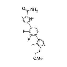 COCCn1ncc(-c2ccc(-c3cnc(C(N)=O)n3C)c(F)c2F)c1C